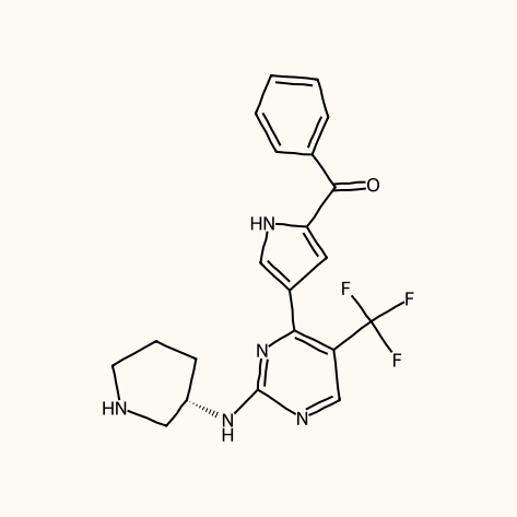 O=C(c1ccccc1)c1cc(-c2nc(N[C@H]3CCCNC3)ncc2C(F)(F)F)c[nH]1